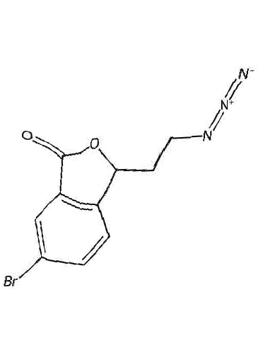 [N-]=[N+]=NCCC1OC(=O)c2cc(Br)ccc21